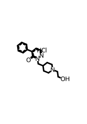 Cl.O=c1c(-c2ccccc2)ccnn1CC1CCN(CCO)CC1